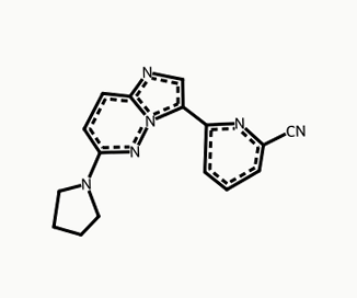 N#Cc1cccc(-c2cnc3ccc(N4CCCC4)nn23)n1